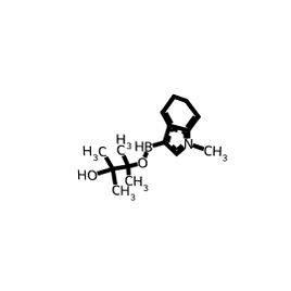 Cn1cc(BOC(C)(C)C(C)(C)O)c2c1=CCCC=2